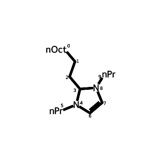 CCCCCCCCCCC1N(CCC)C=CN1CCC